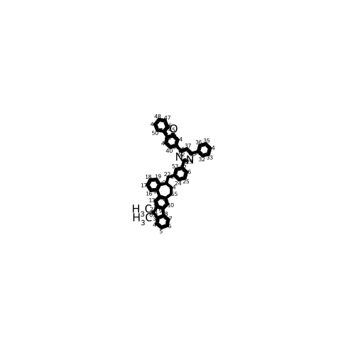 CC1(C)c2ccccc2-c2cc3c(cc21)-c1ccccc1C(Cc1cccc(-c2nc(-c4ccccc4)cc(-c4ccc5c(c4)oc4ccccc45)n2)c1)CC3